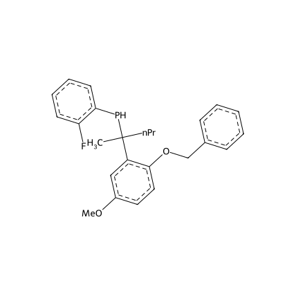 CCCC(C)(Pc1ccccc1F)c1cc(OC)ccc1OCc1ccccc1